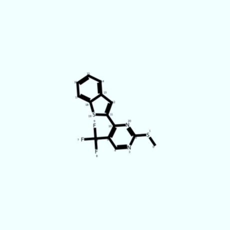 CSc1ncc(C(F)(F)F)c(-c2cc3ccccc3s2)n1